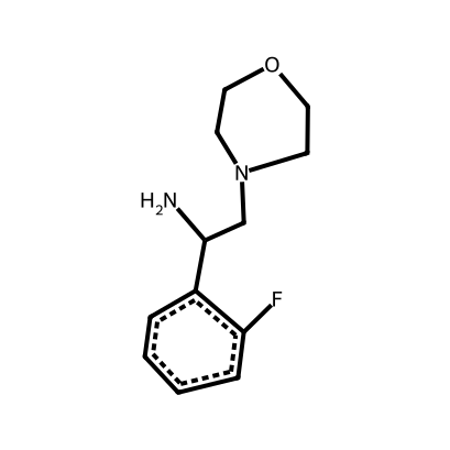 NC(CN1CCOCC1)c1ccccc1F